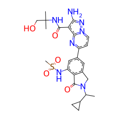 CC(C1CC1)N1Cc2cc(-c3ccn4nc(N)c(C(=O)NC(C)(C)CO)c4n3)cc(NS(C)(=O)=O)c2C1=O